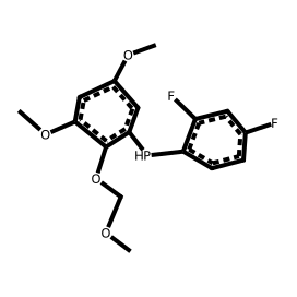 COCOc1c(OC)cc(OC)cc1Pc1ccc(F)cc1F